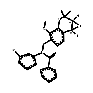 COc1c(CN(C(=O)c2ccccc2)c2cccc(Br)c2)ccc2c1OC(C)(C)[C@@H]1O[C@H]21